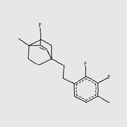 Cc1ccc(CCC23C=C(F)C(C)(CC2)CC3)c(F)c1F